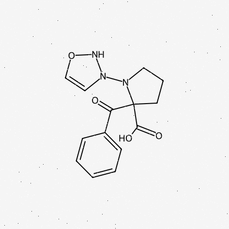 O=C(O)C1(C(=O)c2ccccc2)CCCN1N1C=CON1